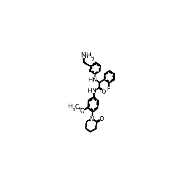 COc1cc(NC(=O)C(Nc2cccc(CN)c2)c2ccccc2F)ccc1N1CCCCC1=O